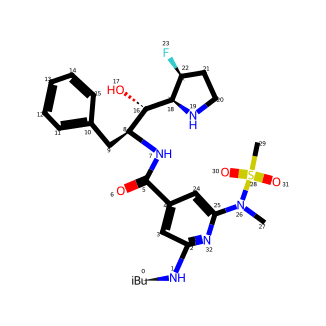 CC[C@H](C)Nc1cc(C(=O)N[C@@H](Cc2ccccc2)[C@H](O)[C@@H]2NCC[C@@H]2F)cc(N(C)S(C)(=O)=O)n1